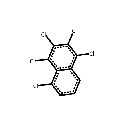 Clc1c(Cl)c(Cl)c2c(Cl)cccc2c1Cl